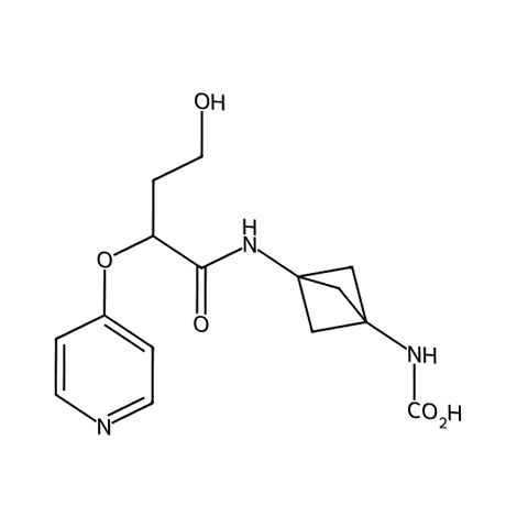 O=C(O)NC12CC(NC(=O)C(CCO)Oc3ccncc3)(C1)C2